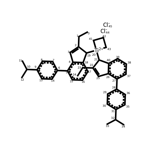 CCC1=Cc2c(-c3ccc(C(C)C)cc3)cccc2[CH]1[Ti+2]1([CH]2C(CC)=Cc3c(-c4ccc(C(C)C)cc4)cccc32)[CH2]C[CH2]1.[Cl-].[Cl-]